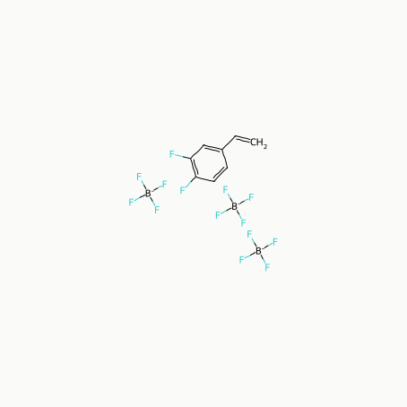 C=Cc1ccc(F)c(F)c1.F[B-](F)(F)F.F[B-](F)(F)F.F[B-](F)(F)F